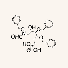 O=CN(C[C@@H](O)[C@@H](OCc1ccccc1)[C@@H](CCP(=O)(O)O)OCc1ccccc1)OCc1ccccc1